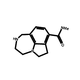 CNC(=O)c1ccc2c3c1CCN3CCNC2